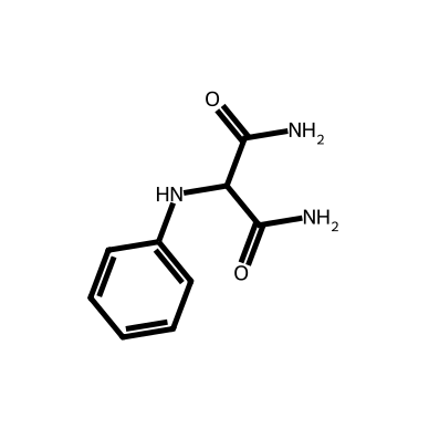 NC(=O)C(Nc1ccccc1)C(N)=O